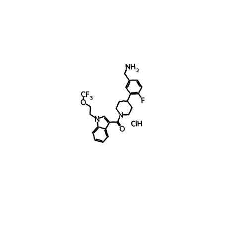 Cl.NCc1ccc(F)c(C2CCN(C(=O)c3cn(CCOC(F)(F)F)c4ccccc34)CC2)c1